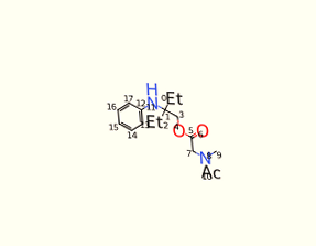 CCC(CC)(COC(=O)CN(C)C(C)=O)Nc1ccccc1